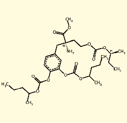 CCCC(C)OC(=O)Oc1ccc(C[C@](N)(CCOC(=O)O[C@@H](C)CC)C(=O)OC)cc1OC(=O)OC(C)CCC